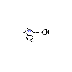 C/C(=C/CC#Cc1ccncc1)N(C)c1ccc(F)cc1